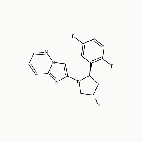 Fc1ccc(F)c([C@H]2C[C@H](F)CN2c2cn3ncccc3n2)c1